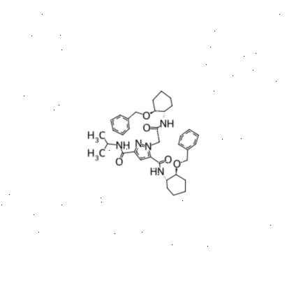 CC(C)NC(=O)c1cc(C(=O)N[C@H]2CCCC[C@@H]2OCc2ccccc2)n(CC(=O)N[C@H]2CCCC[C@@H]2OCc2ccccc2)n1